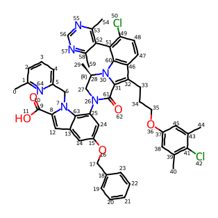 Cc1cccc(Cn2c(C(=O)O)cc3cc(OCc4ccccc4)cc(N4C[C@@H](C)n5c(c(CCCOc6cc(C)c(Cl)c(C)c6)c6ccc(Cl)c(-c7c(C)ncnc7C)c65)C4=O)c32)n1